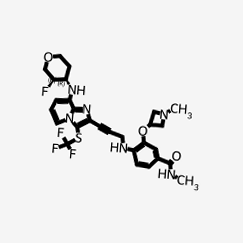 CNC(=O)c1ccc(NCC#Cc2nc3c(N[C@@H]4CCOC[C@@H]4F)cccn3c2SC(F)(F)F)c(OC2CN(C)C2)c1